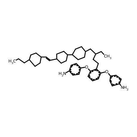 CCCC1CCC(/C=C/C2CCC(C3CCC(CC(CC)CCc4c(Oc5ccc(N)cc5)cccc4Oc4ccc(N)cc4)CC3)CC2)CC1